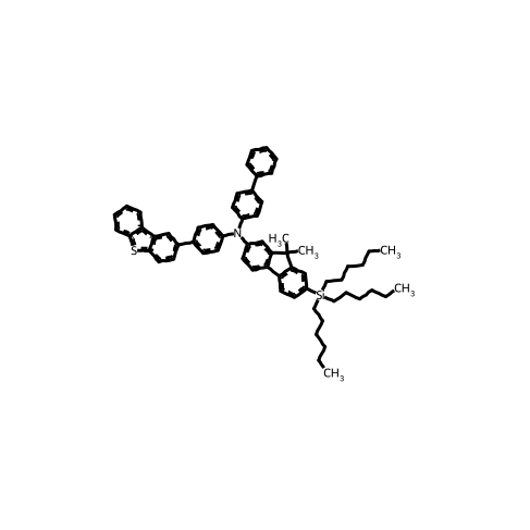 CCCCCC[Si](CCCCCC)(CCCCCC)c1ccc2c(c1)C(C)(C)c1cc(N(c3ccc(-c4ccccc4)cc3)c3ccc(-c4ccc5sc6ccccc6c5c4)cc3)ccc1-2